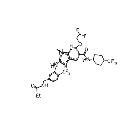 CCC(=O)NCc1ccc(C(F)(F)F)c(Nc2nc3cc(C(=O)N[C@H]4CC[C@H](C(F)(F)F)CC4)c(OCC(F)F)nc3n2C)c1